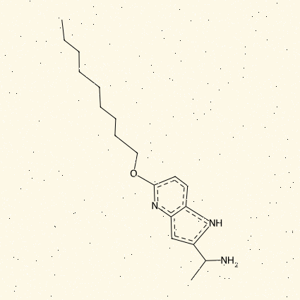 CCCCCCCCCOc1ccc2[nH]c(C(C)N)cc2n1